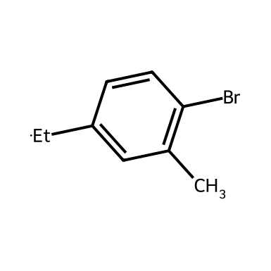 C[CH]c1ccc(Br)c(C)c1